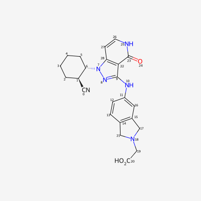 N#C[C@H]1CCCC[C@@H]1n1nc(Nc2ccc3c(c2)CN(CC(=O)O)C3)c2c(=O)[nH]ccc21